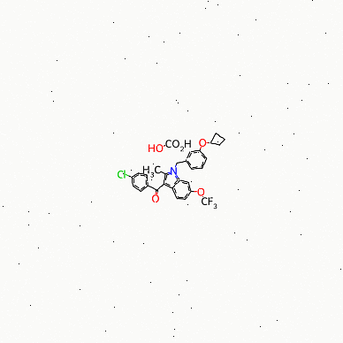 Cc1c(C(=O)c2ccc(Cl)cc2)c2ccc(OC(F)(F)F)cc2n1Cc1cccc(OC2CCC2)c1.O=C(O)O